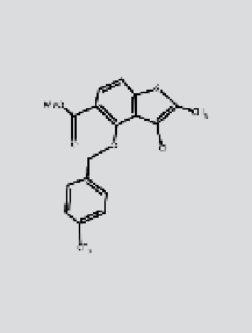 COC(=O)c1ccc2sc(C)c(Cl)c2c1OCc1ccc(C(F)(F)F)cc1